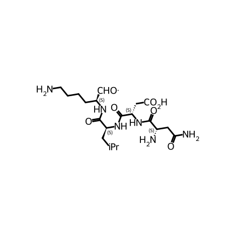 CC(C)C[C@H](NC(=O)[C@H](CC(=O)O)NC(=O)[C@@H](N)CC(N)=O)C(=O)N[C@H]([C]=O)CCCCN